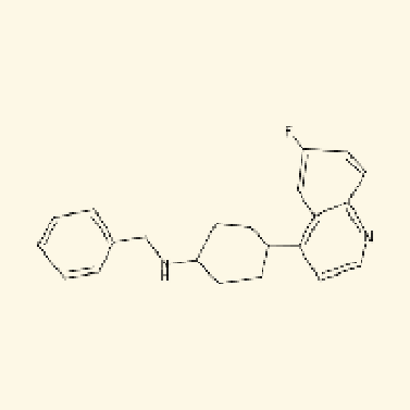 Fc1ccc2nccc(C3CCC(NCc4ccccc4)CC3)c2c1